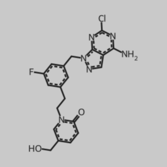 Nc1nc(Cl)nc2c1cnn2Cc1cc(F)cc(CCn2cc(CO)ccc2=O)c1